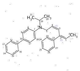 C/C=C(\C=C/CN(c1ccc(-c2ccccc2)cc1)C(C)C)c1ccccc1